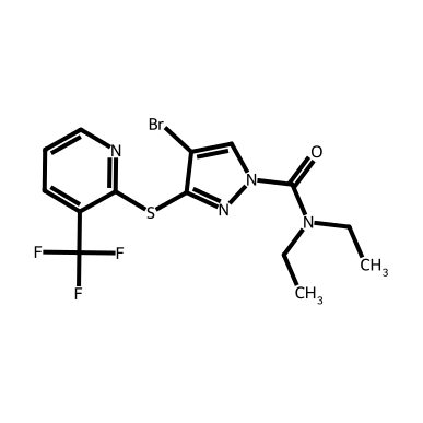 CCN(CC)C(=O)n1cc(Br)c(Sc2ncccc2C(F)(F)F)n1